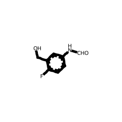 O=CNc1ccc(F)c(CO)c1